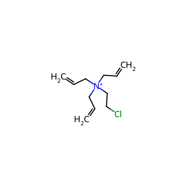 C=CC[N+](CC=C)(CC=C)CCCl